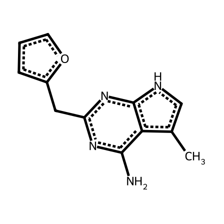 Cc1c[nH]c2nc(Cc3ccco3)nc(N)c12